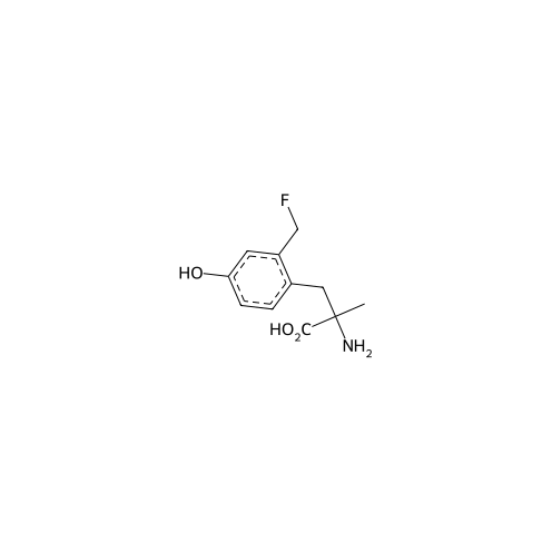 CC(N)(Cc1ccc(O)cc1CF)C(=O)O